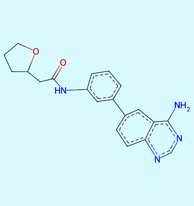 Nc1ncnc2ccc(-c3cccc(NC(=O)CC4CCCO4)c3)cc12